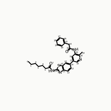 CCCCCCC(=O)Nc1nc2ccc(-c3cnc(C)c(NC(=O)Cc4ccccc4)c3)cc2s1